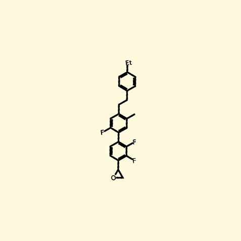 CCc1ccc(CCc2cc(F)c(-c3ccc(C4CO4)c(F)c3F)cc2C)cc1